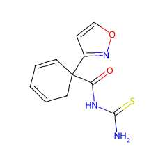 NC(=S)NC(=O)C1(c2ccon2)C=CC=CC1